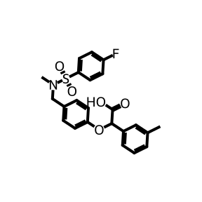 Cc1cccc(C(Oc2ccc(CN(C)S(=O)(=O)c3ccc(F)cc3)cc2)C(=O)O)c1